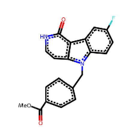 COC(=O)c1ccc(Cn2c3ccc(F)cc3c3c(=O)[nH]ccc32)cc1